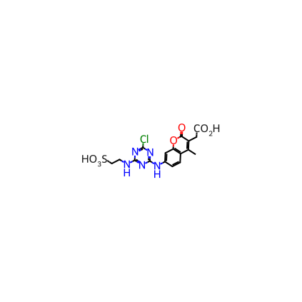 Cc1c(CC(=O)O)c(=O)oc2cc(Nc3nc(Cl)nc(NCCS(=O)(=O)O)n3)ccc12